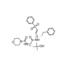 CC(C)(O)C[C@H](NC(=O)N1CCOCC1)C(=O)N[C@H](C=CS(=O)(=O)c1ccccc1)CCc1ccccc1